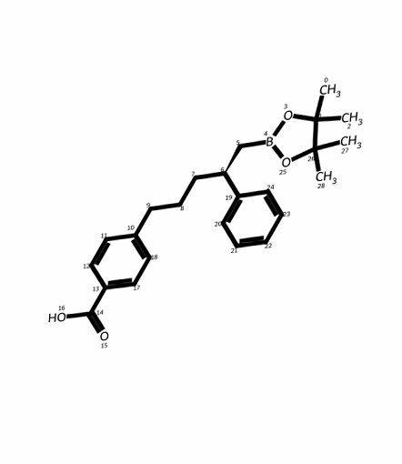 CC1(C)OB(C[C@H](CCCc2ccc(C(=O)O)cc2)c2ccccc2)OC1(C)C